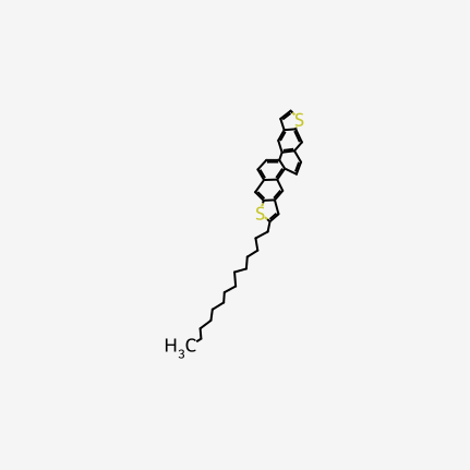 CCCCCCCCCCCCCCc1cc2cc3c(ccc4c5cc6ccsc6cc5ccc34)cc2s1